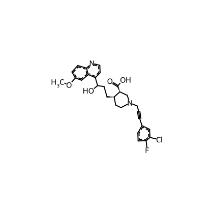 COc1ccc2nccc(C(O)CC[C@@H]3CCN(CC#Cc4ccc(F)c(Cl)c4)C[C@@H]3C(=O)O)c2c1